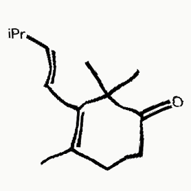 CC1=C(/C=C/C(C)C)C(C)(C)C(=O)CC1